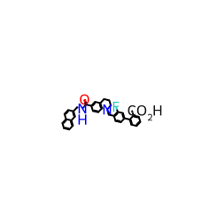 O=C(NCc1ccc2ccccc2c1)c1ccc2c(c1)CCCN2Cc1ccc(-c2ccccc2C(=O)O)cc1F